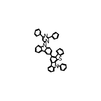 c1ccc(-c2cc(-n3c4ccccc4c4cc(-c5cc6c7ccccc7n(-c7ccccc7)c6c6sc7ccccc7c56)ccc43)nc(-c3ccccc3)n2)cc1